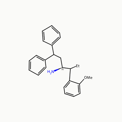 CCC(c1ccccc1OC)[C@@H](N)CC(c1ccccc1)c1ccccc1